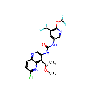 CO[C@@H](C)c1c(NC(=O)Nc2cnc(OC(F)F)c(C(F)F)c2)cnc2ccc(Cl)nc12